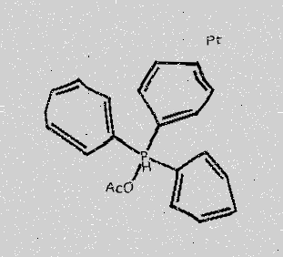 CC(=O)O[PH](c1ccccc1)(c1ccccc1)c1ccccc1.[Pt]